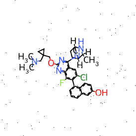 C[C@H]1N[C@H]2CC[C@@H]1N(c1nc(OCC3(CN(C)C)CC3)nc3c(F)c(-c4cccc5cc(O)ccc45)c(Cl)cc13)C2